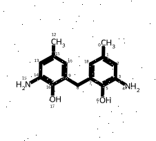 Cc1cc(N)c(O)c(Cc2cc(C)cc(N)c2O)c1